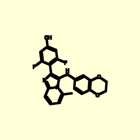 Cc1cccc2nc(-c3c(F)cc(O)cc3F)c(Nc3ccc4c(c3)OCCO4)n12